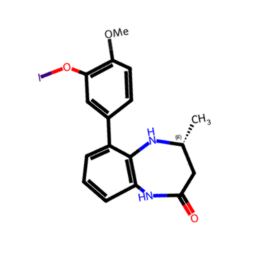 COc1ccc(-c2cccc3c2N[C@H](C)CC(=O)N3)cc1OI